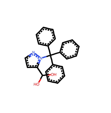 OC(O)c1ccnn1C(c1ccccc1)(c1ccccc1)c1ccccc1